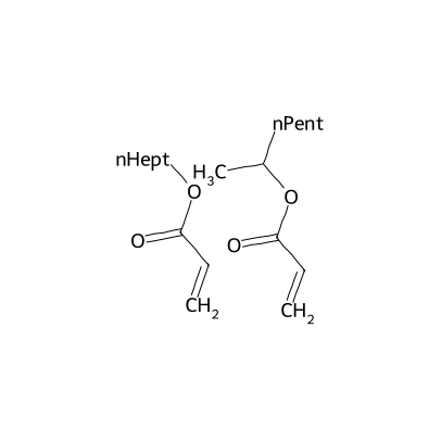 C=CC(=O)OC(C)CCCCC.C=CC(=O)OCCCCCCC